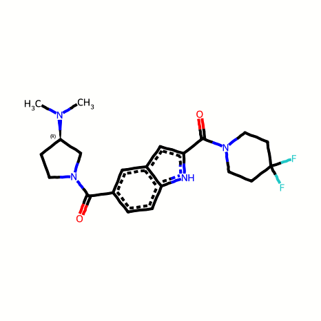 CN(C)[C@@H]1CCN(C(=O)c2ccc3[nH]c(C(=O)N4CCC(F)(F)CC4)cc3c2)C1